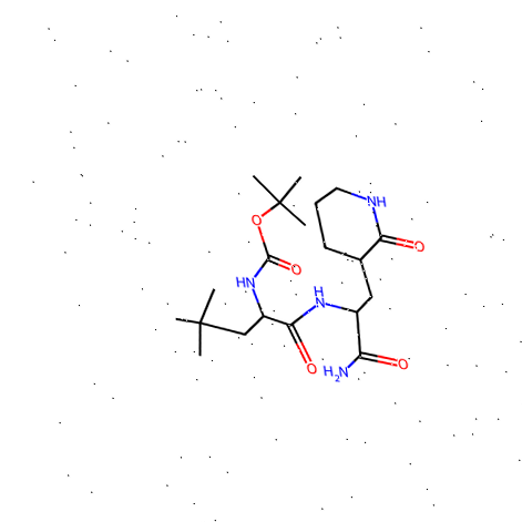 CC(C)(C)CC(NC(=O)OC(C)(C)C)C(=O)NC(CC1CCCNC1=O)C(N)=O